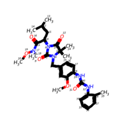 COc1cc(CN2C(=O)N(C(CC(C)C)C(=O)N(C)OC)C(=O)C2(C)C)ccc1NC(=O)Nc1ccccc1C